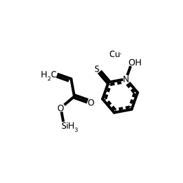 C=CC(=O)O[SiH3].On1ccccc1=S.[Cu]